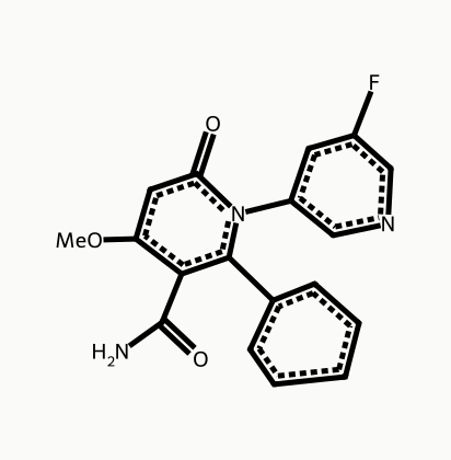 COc1cc(=O)n(-c2cncc(F)c2)c(-c2ccccc2)c1C(N)=O